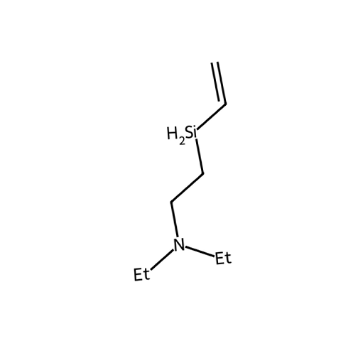 C=C[SiH2]CCN(CC)CC